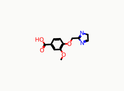 COc1cc(C(=O)O)ccc1OCC1=NCC=N1